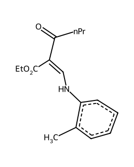 CCCC(=O)/C(=C/Nc1ccccc1C)C(=O)OCC